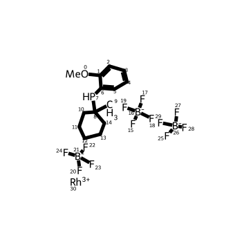 COc1ccccc1PC1(C)CCCCC1.F[B-](F)(F)F.F[B-](F)(F)F.F[B-](F)(F)F.[Rh+3]